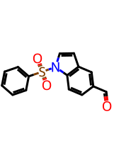 O=Cc1ccc2c(ccn2S(=O)(=O)c2ccccc2)c1